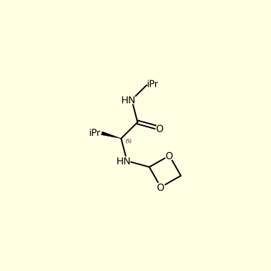 CC(C)NC(=O)[C@@H](NC1OCO1)C(C)C